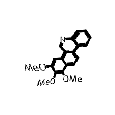 COc1cc2c(ccc3c4ccccc4ncc23)c(OC)c1OC